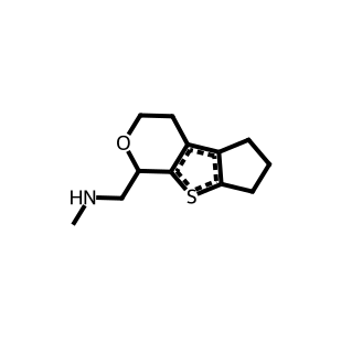 CNCC1OCCc2c1sc1c2CCC1